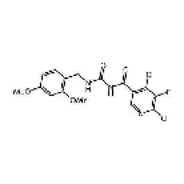 COc1ccc(CNC(=O)NC(=O)c2cnc(Cl)c(F)c2Cl)c(OC)c1